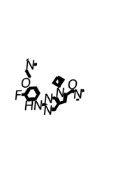 CN(C)CCOc1ccc(Nc2ncc3cc(C(=O)N(C)C)n(C45CC(C4)C5)c3n2)cc1F